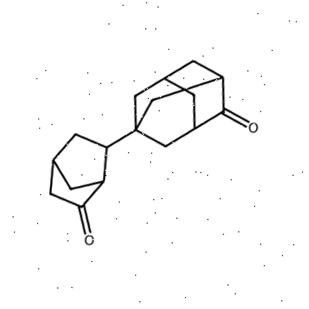 O=C1C2CC3CC1CC(C1CC4CC(=O)C1C4)(C3)C2